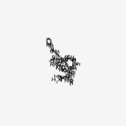 CCCC[C@@H](NC(=O)[C@@H]1CCCN1C(=O)CNC(=O)[C@H](CCCCNC(=O)OC[C@@H]1[C@@H]2CCC#CCC[C@@H]21)NC(=O)[C@@H]1CSSC[C@H](NC(=O)[C@@H]2CCCN2C(=O)[C@H](CCCNC(=N)N)NC(=O)[C@@H]2CCC(=O)N2)C(=O)N[C@@H](CC(C)C)C(=O)N[C@@H](C)C(=O)N1)C(=O)NCCc1ccccc1